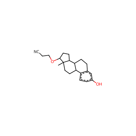 CC12CCC3c4ccc(O)cc4CCC3C1CCC2OCCC#N